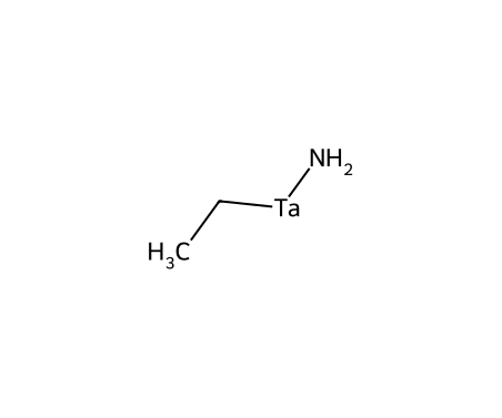 C[CH2][Ta][NH2]